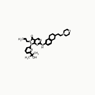 C=CCn1c(=O)c2cnc(Nc3ccc4c(c3)CCC(CCN3CCOCC3)C4)nc2n1-c1cccc(C(C)(C)O)n1